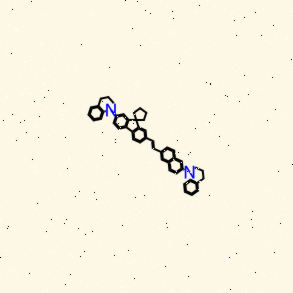 C(=C\c1ccc2cc(N3CCCc4ccccc43)ccc2c1)/c1ccc2c(c1)C1(CCCC1)c1cc(N3CCCc4ccccc43)ccc1-2